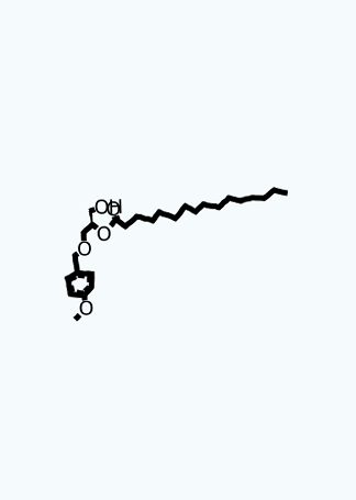 CCCCCCCCCCCCCCCC(=O)O[C@H](CO)COCc1ccc(OC)cc1